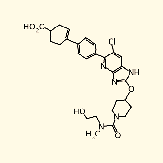 CN(CCO)C(=O)N1CCC(Oc2nc3nc(-c4ccc(C5=CCC(C(=O)O)CC5)cc4)c(Cl)cc3[nH]2)CC1